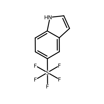 FS(F)(F)(F)(F)c1ccc2[nH]ccc2c1